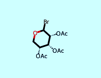 CC(=O)O[C@@H]1[C@H](OC(C)=O)COC(Br)[C@@H]1OC(C)=O